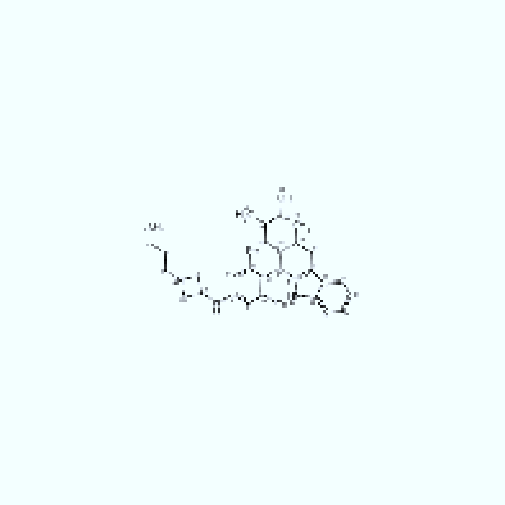 CCCCN1CC(Nc2cc(F)c(C3c4[nH]c5ccccc5c4CC(C)N3CC(C)CO)c(F)c2)C1